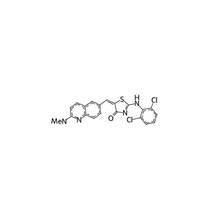 CNc1ccc2cc(/C=C3/SC(Nc4c(Cl)cccc4Cl)=NC3=O)ccc2n1